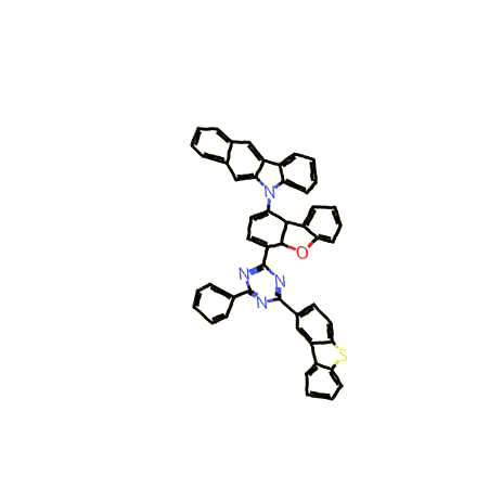 C1=C(c2nc(-c3ccccc3)nc(-c3ccc4sc5ccccc5c4c3)n2)C2Oc3ccccc3C2C(n2c3ccccc3c3cc4ccccc4cc32)=C1